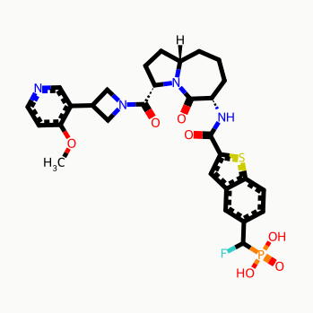 COc1ccncc1C1CN(C(=O)[C@@H]2CC[C@@H]3CCC[C@H](NC(=O)c4cc5cc(C(F)P(=O)(O)O)ccc5s4)C(=O)N32)C1